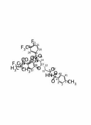 Cc1ccc(S(=O)(=O)NC(=O)CC[C@H]2CN(S(=O)(=O)c3ccc(F)c(C(F)(F)F)c3)c3cc(N(C(=O)O)C(C)(C)C(F)(F)F)ccc3O2)cc1